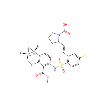 COC(=O)c1c(NS(=O)(=O)c2ccc(F)cc2C=CC2CCCN2C(=O)O)ccc2c1OC[C@@H]1C[C@H]21